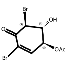 CC(=O)O[C@H]1C=C(Br)C(=O)[C@@H](Br)[C@@H]1O